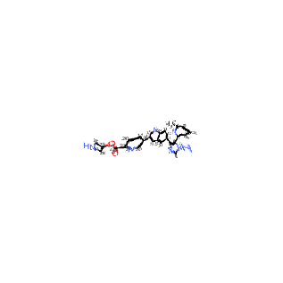 Cc1cccc(-c2[nH]cnc2-c2ccc3ncc(-c4ccc(C(=O)OC5CNC5)nc4)cc3c2)n1